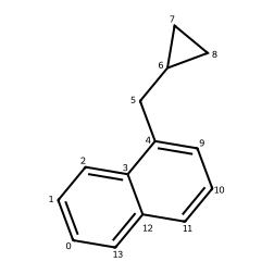 c1ccc2c(CC3CC3)cccc2c1